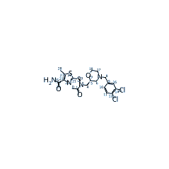 CC(=O)N(C[C@@H]1CN(Cc2ccc(Cl)c(Cl)c2)CCO1)Sc1nc(C(N)=O)c(C)s1